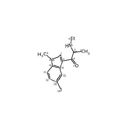 CCNC(C)C(=O)c1cn(C)c2ccc(I)cc12